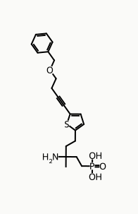 CC(N)(CCc1ccc(C#CCCOCc2ccccc2)s1)CCP(=O)(O)O